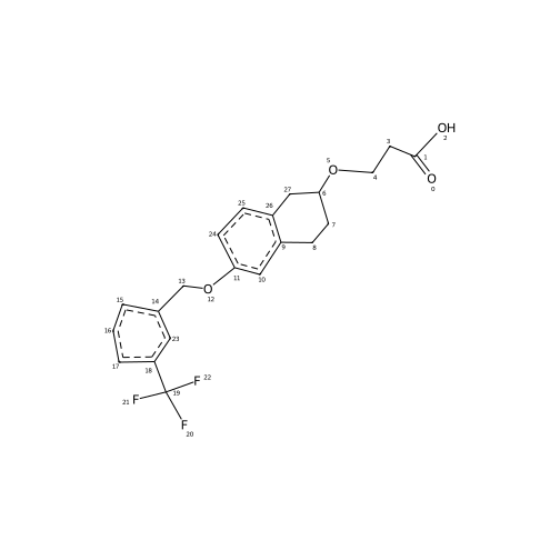 O=C(O)CCOC1CCc2cc(OCc3cccc(C(F)(F)F)c3)ccc2C1